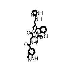 O=C(NCC(NS(=O)(=O)c1c(Cl)cccc1Cl)C(=O)OCCCNc1ncc[nH]1)c1ccc2[nH]ncc2c1